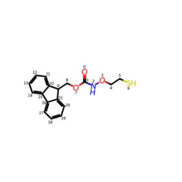 O=C(NOCCS)OCC1c2ccccc2-c2ccccc21